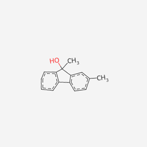 Cc1ccc2c(c1)C(C)(O)c1ccccc1-2